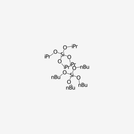 CC(C)O[Si](OC(C)C)(OC(C)C)OC(C)C.CCCCO[Si](OCCCC)(OCCCC)OCCCC